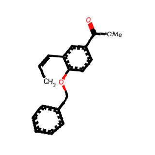 C/C=C\c1cc(C(=O)OC)ccc1OCc1ccccc1